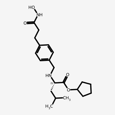 CC(C)C[C@H](NCc1ccc(CCC(=O)NO)cc1)C(=O)OC1CCCC1